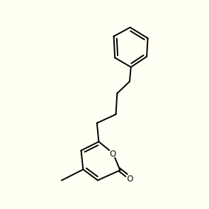 Cc1cc(CCCCc2ccccc2)oc(=O)c1